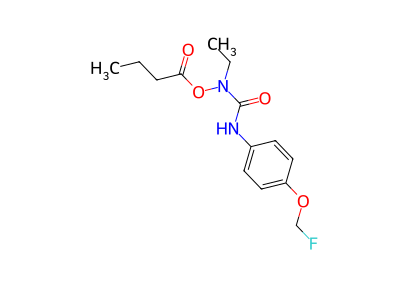 CCCC(=O)ON(CC)C(=O)Nc1ccc(OCF)cc1